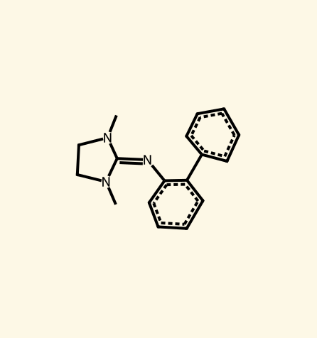 CN1CCN(C)C1=Nc1ccccc1-c1ccccc1